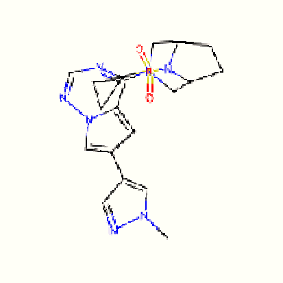 Cn1cc(-c2cc3c(N4CC5CCC(C4)N5S(=O)(=O)C4CC4)ncnn3c2)cn1